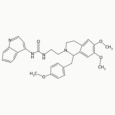 COc1ccc(CC2c3cc(OC)c(OC)cc3CCN2CCNC(=O)Nc2ccnc3ccccc23)cc1